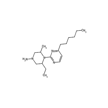 CCCCCCc1ccnc(N2C(C)CN(N)CC2CC)n1